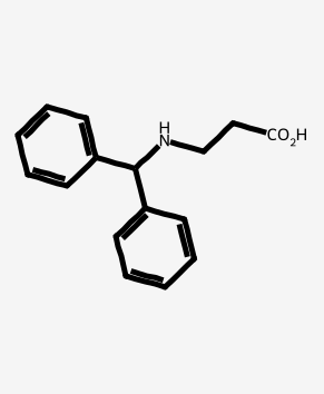 O=C(O)CCNC(c1ccccc1)c1ccccc1